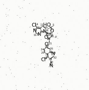 C[C@H]1[C@@H](OC(C)(C)O)[C@H](n2ccc3c(Cl)ncnc32)O[C@@H]1COc1ccc2c(Cl)c(C#N)cnc2c1